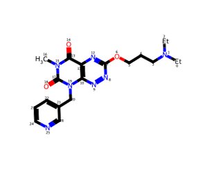 CCN(CC)CCCOc1nnc2c(n1)c(=O)n(C)c(=O)n2Cc1cccnc1